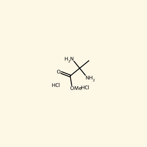 COC(=O)C(C)(N)N.Cl.Cl